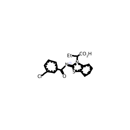 CCC(C(=O)O)n1/c(=N/C(=O)c2cccc(Cl)c2)sc2ccccc21